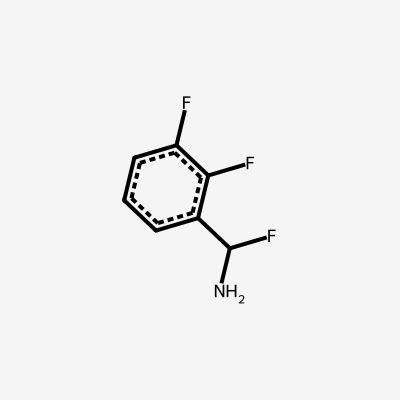 NC(F)c1cccc(F)c1F